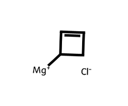 [Cl-].[Mg+][CH]1C=CC1